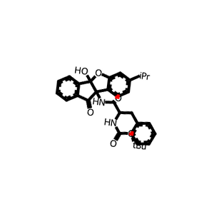 CC(C)c1ccc2c(c1)OC1(O)c3ccccc3C(=O)C21NC(=O)C(Cc1ccccc1)NC(=O)OC(C)(C)C